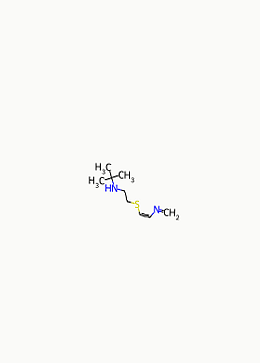 C=N/C=C\SCCNC(C)(C)C